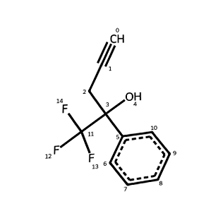 C#CCC(O)(c1ccccc1)C(F)(F)F